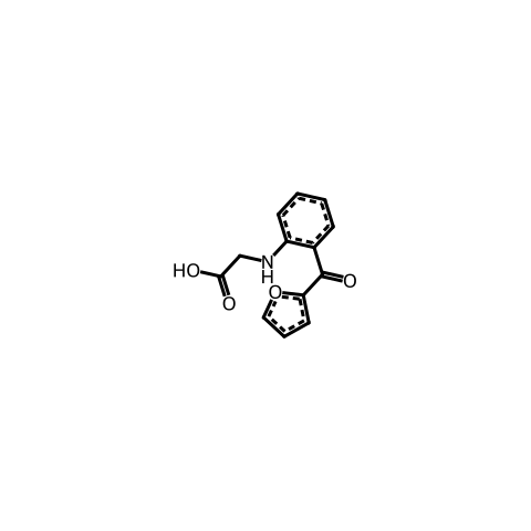 O=C(O)CNc1ccccc1C(=O)c1ccco1